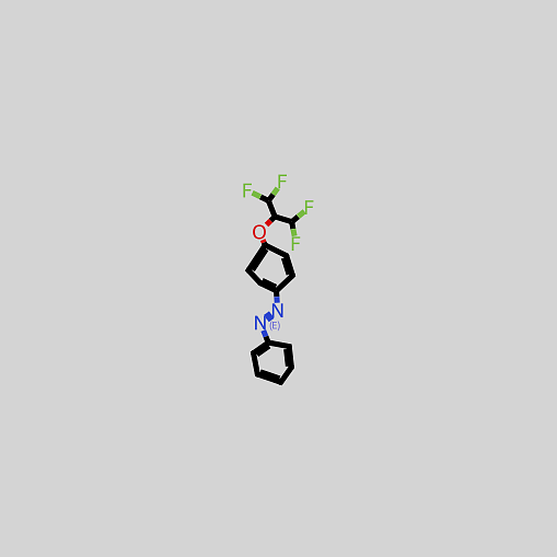 FC(F)C(Oc1ccc(/N=N/c2ccccc2)cc1)C(F)F